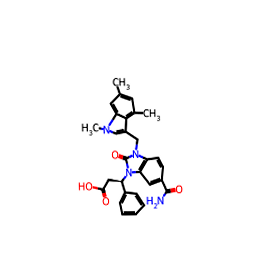 Cc1cc(C)c2c(Cn3c(=O)n([C@H](CC(=O)O)c4ccccc4)c4cc(C(N)=O)ccc43)cn(C)c2c1